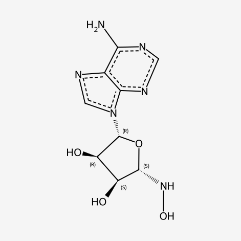 Nc1ncnc2c1ncn2[C@@H]1O[C@H](NO)[C@@H](O)[C@H]1O